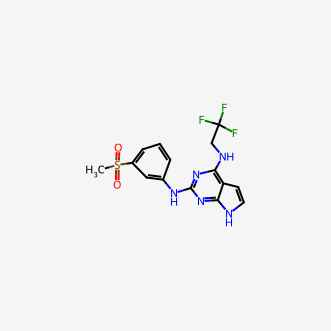 CS(=O)(=O)c1cccc(Nc2nc(NCC(F)(F)F)c3cc[nH]c3n2)c1